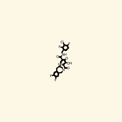 O=C(NCc1ccc(F)c(Cl)c1F)c1cn2c(c(O)c1=O)C(=O)N1Cc3cc(F)c(F)cc3C[C@@H]2C1